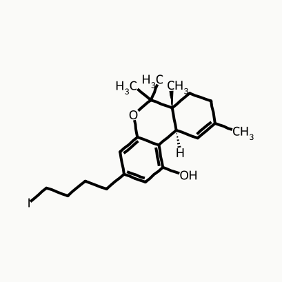 CC1=C[C@H]2c3c(O)cc(CCCCI)cc3OC(C)(C)[C@]2(C)CC1